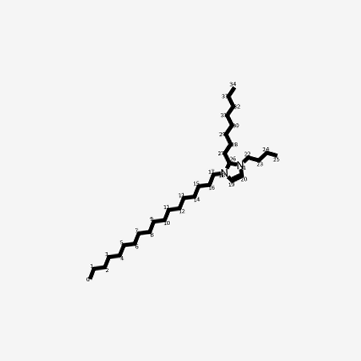 CCCCCCCCCCCCCCCCCCN1C=CN(CCCC)C1CCCCCCCC